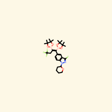 CC1(C)OB(/C(CC(F)(F)F)=C(\B2OC(C)(C)C(C)(C)O2)c2ccc3c(c2)c(F)nn3C2CCCCO2)OC1(C)C